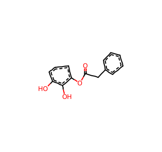 O=C(Cc1ccccc1)Oc1cccc(O)c1O